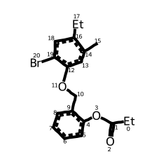 CCC(=O)Oc1ccccc1COc1cc(C)c(CC)cc1Br